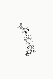 O=C(O[C@H](CO)C(F)(F)F)N1CCC2(CC1)CC(n1cc(C3CC3)cn1)C2